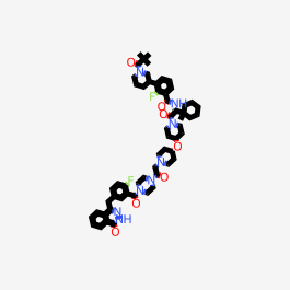 CC(C)(C)C(=O)N1CCCC(c2cccc(C(=O)N[C@@H](C(=O)N3CCC(OC4CCN(CC(=O)N5CCN(C(=O)c6cc(Cc7n[nH]c(=O)c8ccccc78)ccc6F)CC5)CC4)CC3)C3(C)CCCCC3)c2F)C1